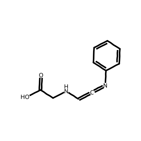 O=C(O)CNC=C=Nc1ccccc1